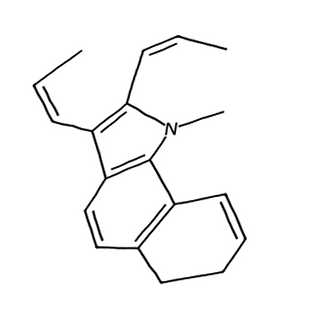 C/C=C\c1c(/C=C\C)n(C)c2c3c(ccc12)CCC=C3